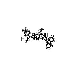 N[C@H](c1cn2ncc([C@H](NC(=O)OCC3c4ccccc4-c4ccccc43)C3CC3)cc2n1)C1CCC(F)(F)CC1